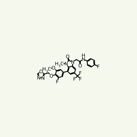 COc1cc(-c2cc(C(F)(F)F)cc3c2n(C)c(=O)n3CC(=O)Nc2ccc(F)cc2)cc(F)c1OCc1nnco1